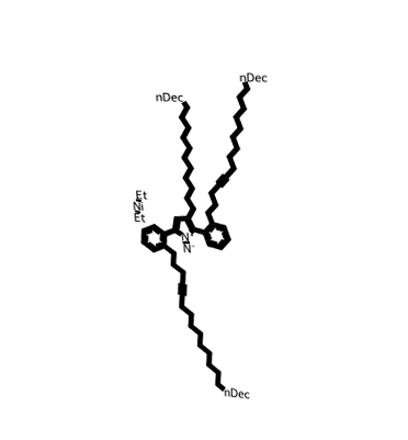 CCCCCCCCCCCCCCCCCCCC#CCCCc1ccccc1C1=CC(CCCCCCCCCCCCCCCCCCCCC)=C(c2ccccc2CCCC#CCCCCCCCCCCCCCCCCCCC)[N+]1=[N-].C[CH2][Ni][CH2]C